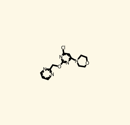 Clc1cc(N2CCOCC2)nc(OCc2ncccn2)n1